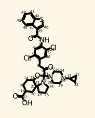 O=C(Nc1cc(Cl)c(CC(=O)C(OC2CCC(C(=O)O)CC2)(N2CCCC2)N2CCN(C3CC3)CC2)cc1Cl)c1csc2ccccc12